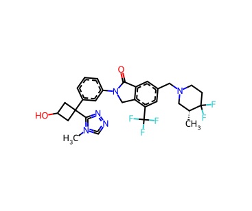 C[C@@H]1CN(Cc2cc3c(c(C(F)(F)F)c2)CN(c2cccc(C4(c5nncn5C)CC(O)C4)c2)C3=O)CCC1(F)F